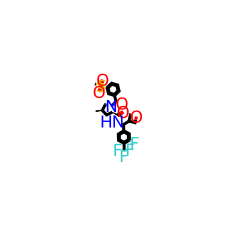 C[C@@H]1C[C@H](C(=O)N[C@@H](c2ccc(C(F)(F)F)c(F)c2)C2COC2)N(C(=O)c2cccc(S(C)(=O)=O)c2)C1